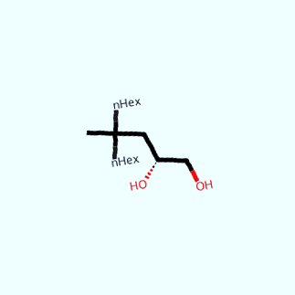 CCCCCCC(C)(CCCCCC)C[C@@H](O)CO